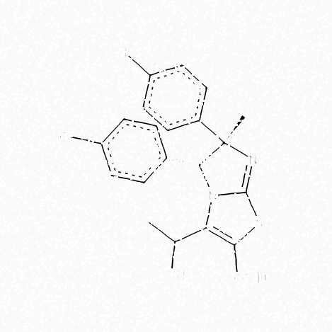 CC(O)C1=C(C(=O)O)SC2=N[C@@](C)(c3ccc(Cl)cc3)[C@@H](c3ccc(Cl)cc3)N21